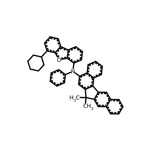 CC1(C)c2cc3ccccc3cc2-c2c1cc(N(c1ccccc1)c1cccc3c1oc1c(C4CCCCC4)cccc13)c1ccccc21